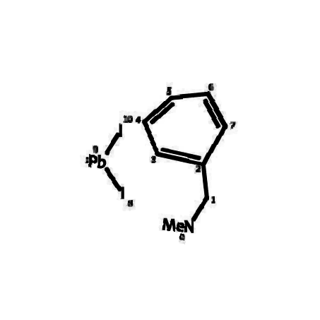 CNCc1ccccc1.[I][Pb][I]